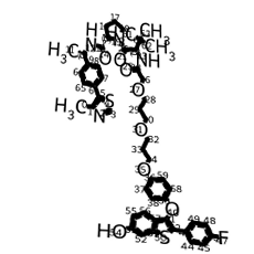 Cc1ncsc1-c1ccc([C@H](C)NC(=O)[C@@H]2CCCN2C(=O)[C@@H](NC(=O)COCCCOCCCOc2ccc(Oc3c(-c4ccc(F)cc4)sc4cc(O)ccc34)cc2)C(C)(C)C)cc1